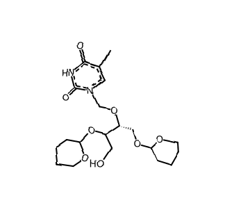 Cc1cn(CO[C@H](COC2CCCCO2)C(CO)OC2CCCCO2)c(=O)[nH]c1=O